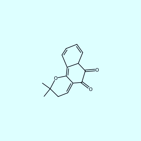 CC1(C)CC=C2C(=O)C(=O)C3C=CC=CC3=C2O1